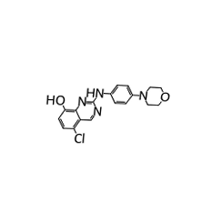 Oc1ccc(Cl)c2cnc(Nc3ccc(N4CCOCC4)cc3)nc12